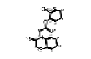 O=C(CN1C(=S)CSc2ccccc21)Oc1ccccc1Cl